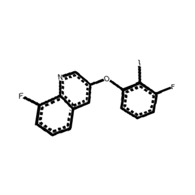 Fc1cccc(Oc2cnc3c(F)cccc3c2)c1I